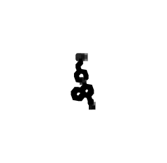 N#Cc1ccc(N2CCC(CCO)CC2)c2ccccc12